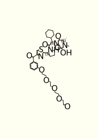 C[C@@H](C(=O)N[C@H](C(=O)N1CCC[C@H]1c1nc(C(=O)c2cccc(OCCOCCOCCOCC=O)c2)cs1)C1CCCCC1)N(C)C(=O)O